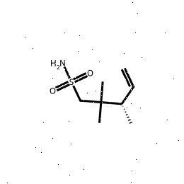 C=C[C@H](C)C(C)(C)CS(N)(=O)=O